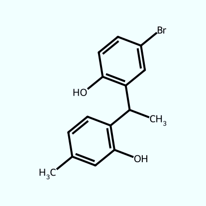 Cc1ccc(C(C)c2cc(Br)ccc2O)c(O)c1